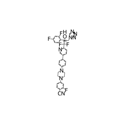 N#Cc1ccc(N2CCN(c3ccc(-c4ccc(C(F)(F)[C@](O)(Cn5cnnn5)c5ccc(F)cc5F)nc4)cc3)CC2)cc1F